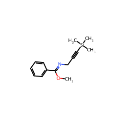 CO/C(=N\CC#C[Si](C)(C)C)c1ccccc1